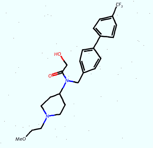 COCCN1CCC(N(Cc2ccc(-c3ccc(C(F)(F)F)cc3)cc2)C(=O)CO)CC1